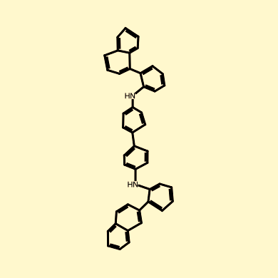 c1ccc(-c2ccc3ccccc3c2)c(Nc2ccc(-c3ccc(Nc4ccccc4-c4cccc5ccccc45)cc3)cc2)c1